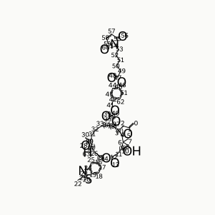 C=CC[C@H]1C(=O)C(C)(C)[C@@H](O)CC(=O)O[C@H](c2ccc3sc(C)nc3c2)C[C@@H]2O[C@]2(C)CCC[C@H](C)[C@@H]1OC(=O)OCc1ccc(OC(=O)CCCCCN2C(=O)C=CC2=O)cc1